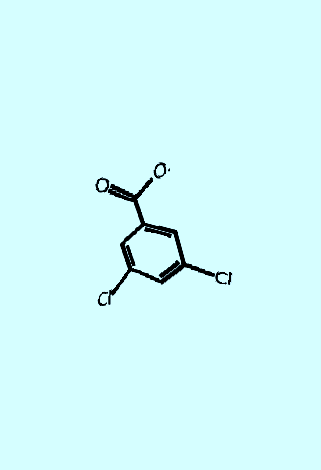 [O]C(=O)c1cc(Cl)cc(Cl)c1